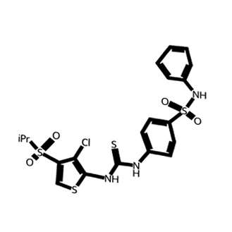 CC(C)S(=O)(=O)c1csc(NC(=S)Nc2ccc(S(=O)(=O)Nc3ccccc3)cc2)c1Cl